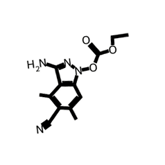 CCOC(=O)On1nc(N)c2c(C)c(C#N)c(C)cc21